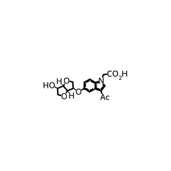 CC(=O)c1cn(CC(=O)O)c2ccc(O[C@@H]3CO[C@H]4[C@@H]3OC[C@H]4O)cc12